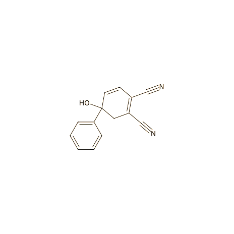 N#CC1=C(C#N)CC(O)(c2ccccc2)C=C1